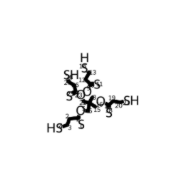 S=C(CCS)OCC(COC(=S)CCS)(COC(=S)CCS)COC(=S)CCS